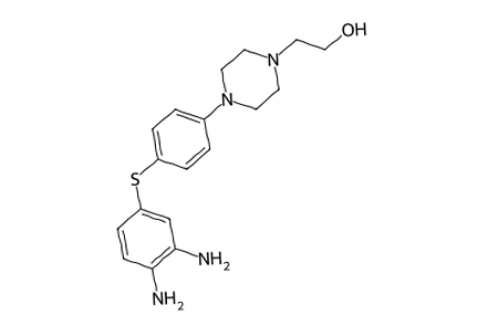 Nc1ccc(Sc2ccc(N3CCN(CCO)CC3)cc2)cc1N